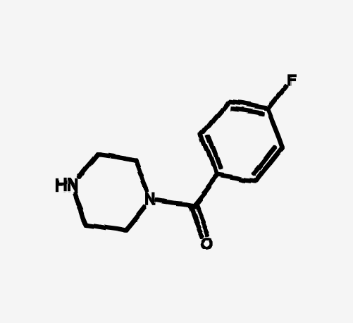 O=C(c1ccc(F)cc1)N1CCNCC1